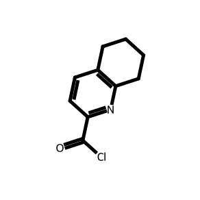 O=C(Cl)c1ccc2c(n1)CCCC2